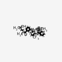 CN(C)CCN(C)C(=O)c1cccc(Nc2ncc(C(F)(F)F)c(NCc3cccnc3N(C)S(C)(=O)=O)n2)c1